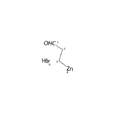 Br.O=CC[CH2][Zn]